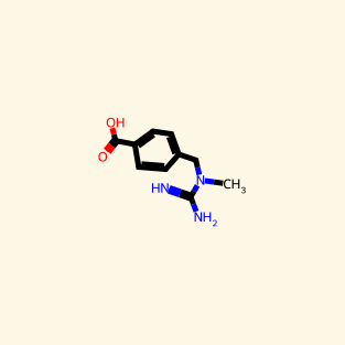 CN(Cc1ccc(C(=O)O)cc1)C(=N)N